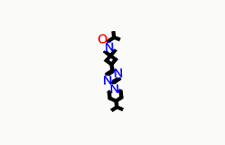 CC(C)C(=O)N1CC2(CC(c3cnc(N4CCC(C(C)C)CC4)cn3)C2)C1